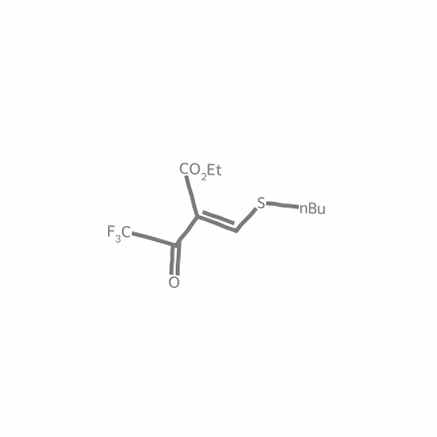 CCCCS/C=C(\C(=O)OCC)C(=O)C(F)(F)F